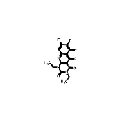 CCn1c(=O)c2c(F)c3c(F)c(F)c(F)cc3nc2n(CC)c1=O